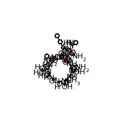 C[C@H](CC(=O)O)[C@@H]1NC(=O)[C@@H](CO)NC(=O)CNC(=O)[C@H](CC(=O)O)NC(=O)[C@@H](C)NC(=O)[C@H](CC(=O)O)NC(=O)[C@H](CCCN)NC(=O)CNC(=O)[C@@H](NC(=O)[C@H](CC(=O)O)NC(=O)[C@@H](CC(N)=O)NC(=O)[C@H](Cc2c[nH]c3ccccc23)NC(=O)c2ccc(-c3ccc(-c4ccccc4)cc3)s2)[C@@H](C)OC(=O)[C@H](CC(=O)c2ccccc2N)NC1=O